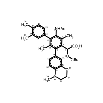 CC(=O)Nc1c(C)c(C(OC(C)(C)C)C(=O)O)c(-c2ccc3c(c2)OCCN3C)c(C)c1-c1ccc(C)c(C)c1